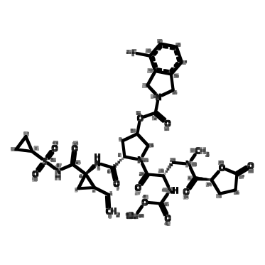 C=CC1C[C@]1(NC(=O)[C@@H]1CC(OC(=O)N2Cc3cccc(F)c3C2)CN1C(=O)[C@H](CN(C)C(=O)[C@@H]1CCC(=O)O1)NC(=O)OC(C)(C)C)C(=O)NS(=O)(=O)C1CC1